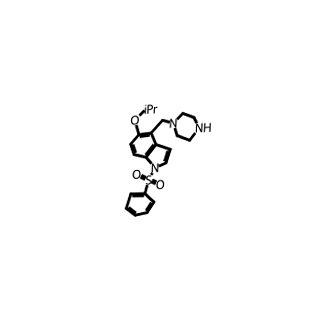 CC(C)Oc1ccc2c(ccn2S(=O)(=O)c2ccccc2)c1CN1CCNCC1